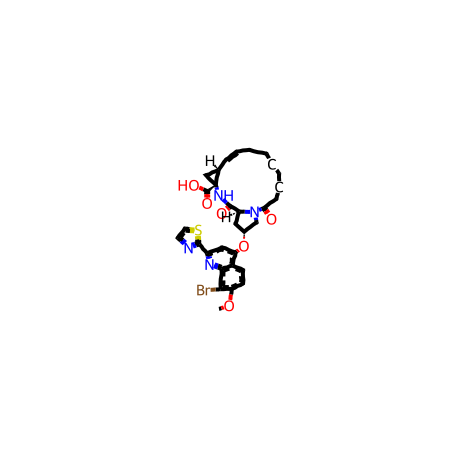 COc1ccc2c(O[C@@H]3C[C@H]4C(=O)N[C@]5(C(=O)O)C[C@H]5/C=C\CCCCCCC(=O)N4C3)cc(-c3nccs3)nc2c1Br